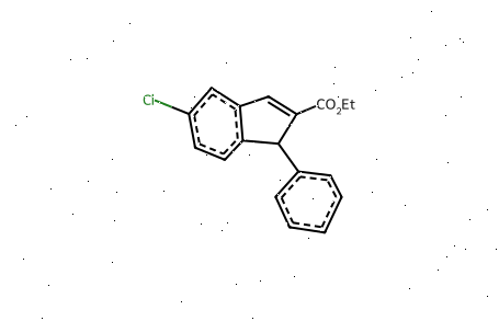 CCOC(=O)C1=Cc2cc(Cl)ccc2C1c1ccccc1